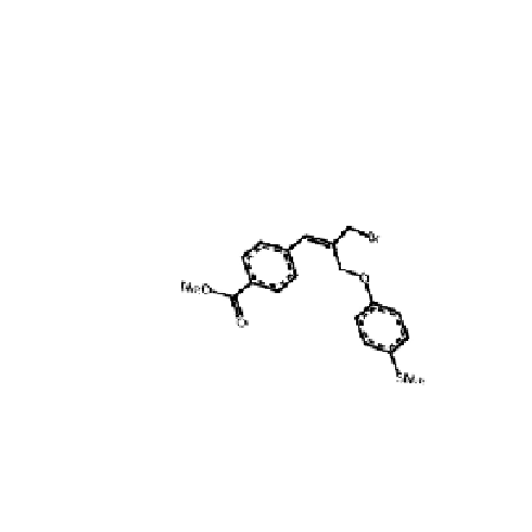 COC(=O)c1ccc(C=C(CBr)COc2ccc(SC)cc2)cc1